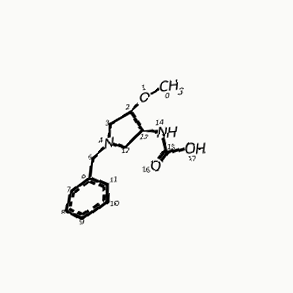 CO[C@@H]1CN(Cc2ccccc2)C[C@@H]1NC(=O)O